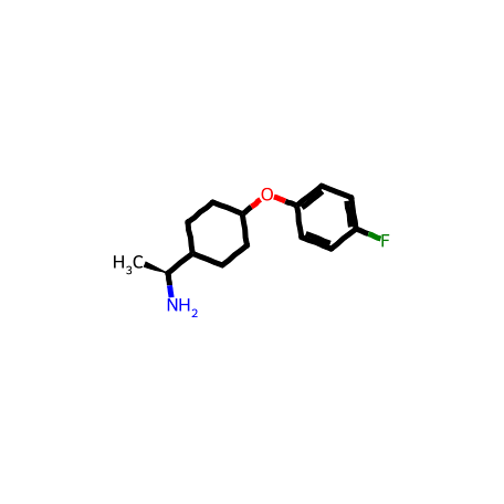 C[C@H](N)C1CCC(Oc2ccc(F)cc2)CC1